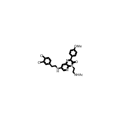 COc1ccc(-c2nc3cc(NCCc4ccc(Cl)c(Cl)c4)cnc3n(CCNC(C)=O)c2=O)cc1